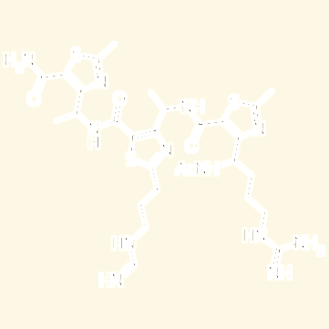 CC(=O)NC(CCCNC(=N)N)c1nc(C)sc1C(=O)NC(C)c1nc(CCCNC=N)sc1C(=O)NC(C)c1nc(C)sc1C(N)=O